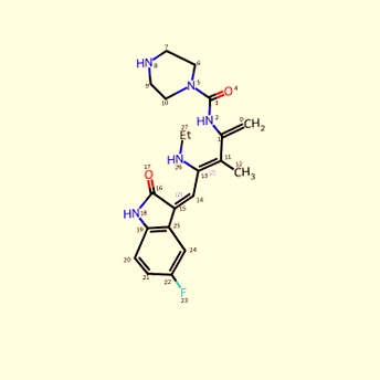 C=C(NC(=O)N1CCNCC1)/C(C)=C(/C=C1\C(=O)Nc2ccc(F)cc21)NCC